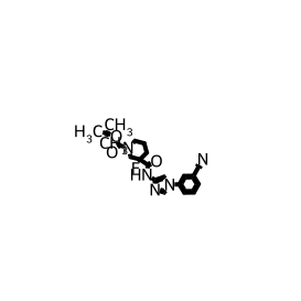 CC(C)(C)OC(=O)N1CCC[C@](F)(C(=O)Nc2cn(-c3cccc(C#N)c3)cn2)C1